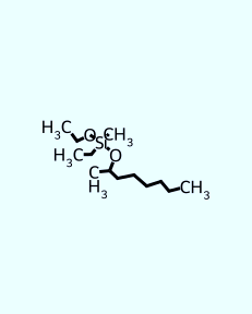 CCCCCCC(C)O[Si](C)(CC)OCC